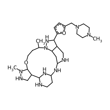 CC1CCOC2C(CNN2C)C2NCCC(NC3CC4C(CN3)C(c3ccc(CN5CCN(C)CC5)o3)NN14)N2